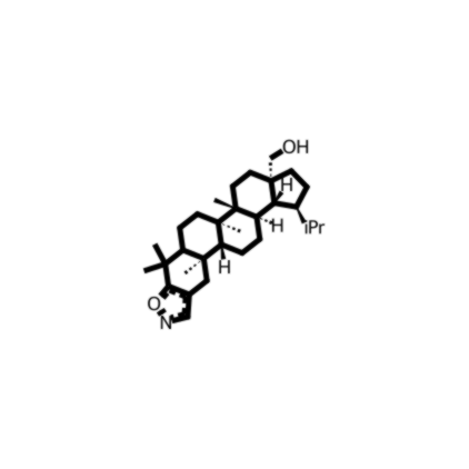 CC(C)[C@@H]1CC[C@]2(CO)CC[C@]3(C)[C@H](CC[C@@H]4[C@@]5(C)Cc6cnoc6C(C)(C)C5CC[C@]43C)[C@@H]12